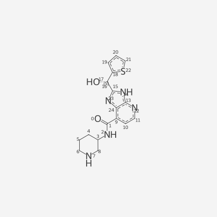 O=C(NC1CCCNC1)c1ccnc2[nH]c([C@H](O)c3cccs3)nc12